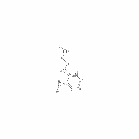 COCCOc1ncccc1OC